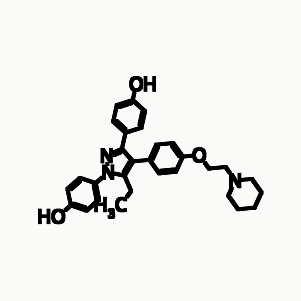 CCc1c(-c2ccc(OCCN3CCCCC3)cc2)c(-c2ccc(O)cc2)nn1-c1ccc(O)cc1